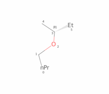 CCCCO[C@H](C)CC